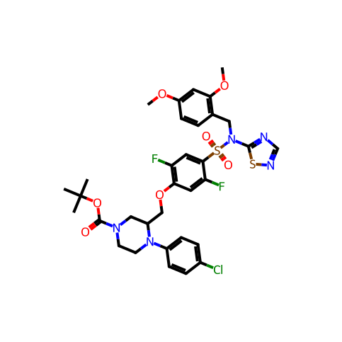 COc1ccc(CN(c2ncns2)S(=O)(=O)c2cc(F)c(OCC3CN(C(=O)OC(C)(C)C)CCN3c3ccc(Cl)cc3)cc2F)c(OC)c1